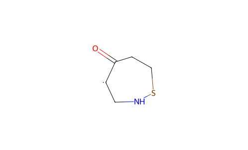 O=C1[CH]CNSCC1